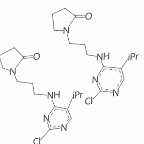 CC(C)c1cnc(Cl)nc1NCCCN1CCCC1=O.CC(C)c1cnc(Cl)nc1NCCCN1CCCC1=O